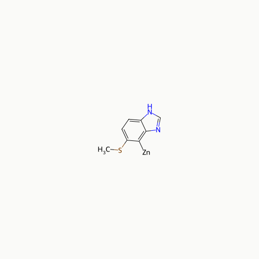 CSc1ccc2[nH]cnc2[c]1[Zn]